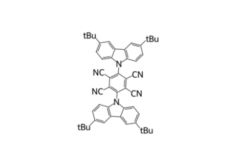 CC(C)(C)c1ccc2c(c1)c1cc(C(C)(C)C)ccc1n2-c1c(C#N)c(C#N)c(-n2c3ccc(C(C)(C)C)cc3c3cc(C(C)(C)C)ccc32)c(C#N)c1C#N